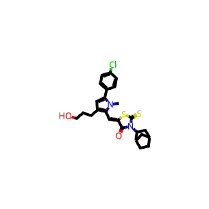 Cn1c(-c2ccc(Cl)cc2)cc(CCCO)c1/C=C1\SC(=S)N(C2CC3CCC2C3)C1=O